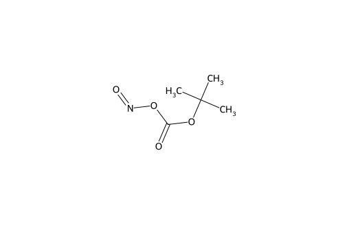 CC(C)(C)OC(=O)ON=O